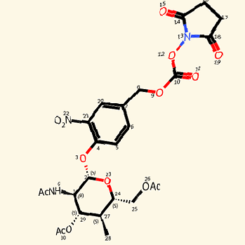 CC(=O)N[C@H]1[C@H](Oc2ccc(COC(=O)ON3C(=O)CCC3=O)cc2[N+](=O)[O-])O[C@H](COC(C)=O)[C@@H](C)[C@@H]1OC(C)=O